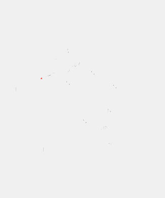 N#Cc1c(-n2c3ccccc3c3ccc4c5ccccc5sc4c32)c(-n2c3ccccc3c3cc(C(F)(F)F)ccc32)c(-c2ccccc2)c(-n2c3ccccc3c3cc(C(F)(F)F)ccc32)c1-n1c2ccccc2c2ccc3c4ccccc4sc3c21